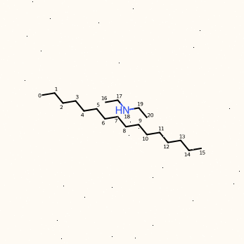 CCCCCCCCCCCCCCCC.CCNCC